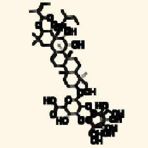 C/C=C(/C)C(=O)O[C@H]1[C@H](OC(=O)/C(C)=C\C)[C@@]2(CO)C(CC1(C)C)C1=CCC3[C@@]4(C)CC[C@H](O[C@@H]5OC(C(=O)O)[C@@H](O)C(O[C@@H]6O[C@@H](CO)C(O)C6O)C5O[C@@H]5OC(CO)[C@@H](O)C(O)C5O)[C@](C)(CO)C4CC[C@@]3(C)[C@]1(C)[C@@H](O)[C@H]2O